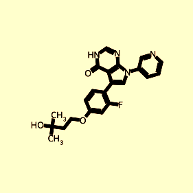 CC(C)(O)CCOc1ccc(-c2cn(-c3cccnc3)c3nc[nH]c(=O)c23)c(F)c1